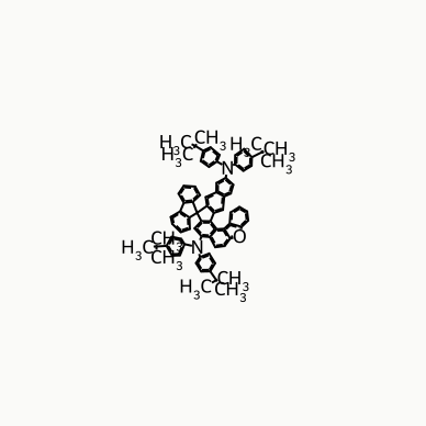 CC(C)(C)c1ccc(N(c2ccc(C(C)(C)C)cc2)c2ccc3cc4c(cc3c2)C2(c3ccccc3-c3ccccc32)c2cc(N(c3ccc(C(C)(C)C)cc3)c3ccc(C(C)(C)C)cc3)c3ccc5oc6ccccc6c5c3c2-4)cc1